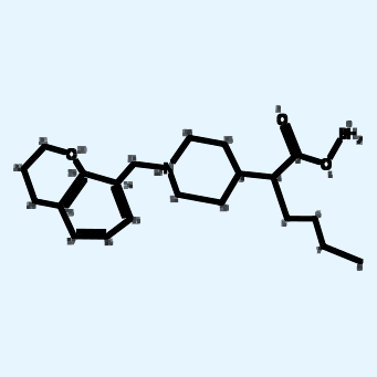 BOC(=O)C(CCCC)C1CCN(Cc2cccc3c2OCCC3)CC1